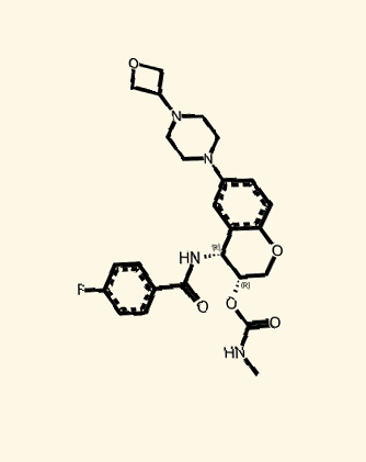 CNC(=O)O[C@H]1COc2ccc(N3CCN(C4COC4)CC3)cc2[C@H]1NC(=O)c1ccc(F)cc1